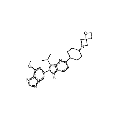 COc1cc(-c2[nH]c3ccc(C4CCC(N5CC6(CCO6)C5)CC4)nc3c2C(C)C)cn2ncnc12